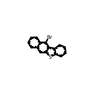 Brc1c2ccccc2cc2sc3ccccc3c12